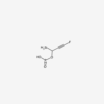 O=[PH](O)OC([SiH3])C#CF